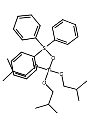 CC(C)C[O][Ti]([O]CC(C)C)([O]CC(C)C)[O][Si](c1ccccc1)(c1ccccc1)c1ccccc1